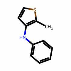 Cc1sccc1Nc1ccccc1